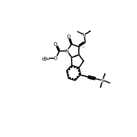 CN(C)/C=C1\C(=O)N(C(=O)OC(C)(C)C)C2c3cccc(C#C[Si](C)(C)C)c3CC12